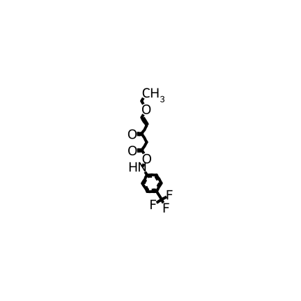 CCOC=CC(=O)CC(=O)ONc1ccc(C(F)(F)F)cc1